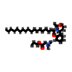 CCCCCCCCCCCCCCCCCC(=O)N(C(C)=O)C(CC)c1ccccc1.CCCOC(=O)CN(C)C